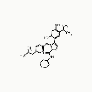 CC(C)c1cc(-c2ccc(C(=O)NC3CCCCC3)n2Cc2ccc(CN(C)C)cc2)c(O)cc1O